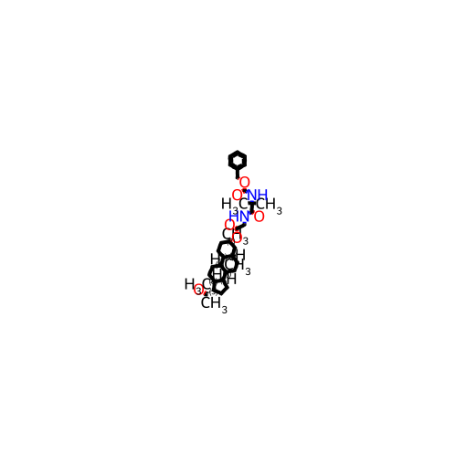 CC(=O)[C@H]1CC[C@H]2[C@@H]3CC[C@H]4C[C@](C)(OC(=O)CNC(=O)C(C)(C)NC(=O)OCc5ccccc5)CC[C@]4(C)[C@H]3CC[C@]12C